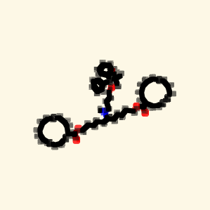 CN(CCCCO[Si](c1ccccc1)(c1ccccc1)C(C)(C)C)C(CCCCCOC(=O)C1CCCCCCCCCCCCC1)CCCCCOC(=O)C1CCCCCCCCCCCCC1